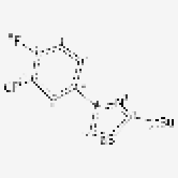 CC(C)(C)c1nc(-c2ccc(F)c(Cl)c2)cs1